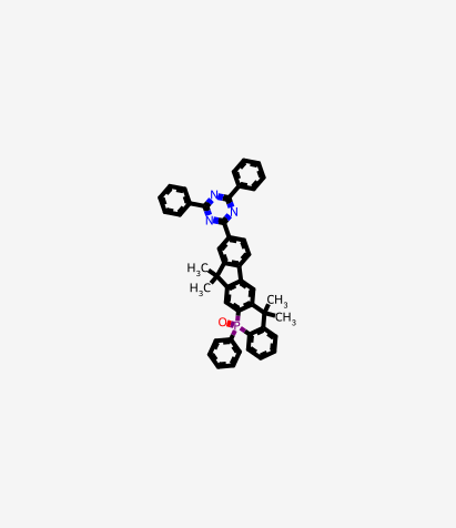 CC1(C)c2cc(-c3nc(-c4ccccc4)nc(-c4ccccc4)n3)ccc2-c2cc3c(cc21)P(=O)(c1ccccc1)c1ccccc1C3(C)C